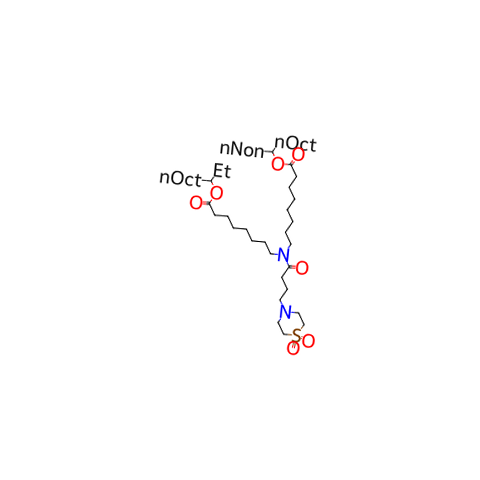 CCCCCCCCCC(CCCCCCCC)OC(=O)CCCCCCCN(CCCCCCCC(=O)OC(CC)CCCCCCCC)C(=O)CCCN1CCS(=O)(=O)CC1